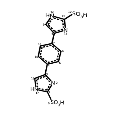 O=S(=O)(O)c1nc(-c2ccc(-c3c[nH]c(S(=O)(=O)O)n3)cc2)c[nH]1